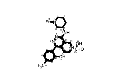 CCN1CCC[C@@H](Nc2nnc(-c3ccc(C(F)(F)F)cc3O)c3ccncc23)C1.O=CO